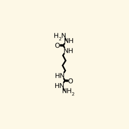 NNC(=O)NCCCCNC(=O)NN